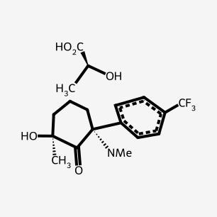 CN[C@@]1(c2ccc(C(F)(F)F)cc2)CCC[C@](C)(O)C1=O.C[C@H](O)C(=O)O